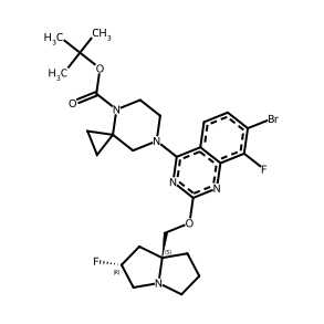 CC(C)(C)OC(=O)N1CCN(c2nc(OC[C@@]34CCCN3C[C@H](F)C4)nc3c(F)c(Br)ccc23)CC12CC2